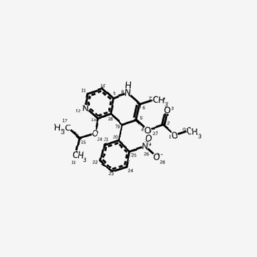 COC(=O)OC1=C(C)Nc2ccnc(OC(C)C)c2C1c1ccccc1[N+](=O)[O-]